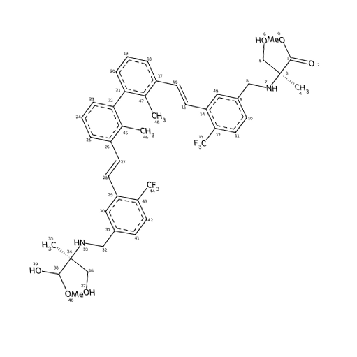 COC(=O)[C@](C)(CO)NCc1ccc(C(F)(F)F)c(/C=C/c2cccc(-c3cccc(/C=C/c4cc(CN[C@@](C)(CO)C(O)OC)ccc4C(F)(F)F)c3C)c2C)c1